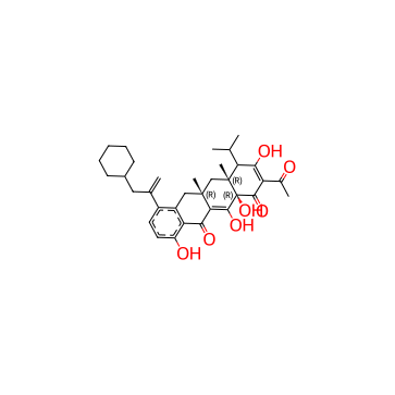 C=C(CC1CCCCC1)c1ccc(O)c2c1C[C@]1(C)C[C@]3(C)C(C(C)C)C(O)=C(C(C)=O)C(=O)[C@]3(O)C(O)=C1C2=O